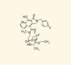 CCOC(=O)[C@H](C)N[P@@](=O)(CCN(C)C(=O)c1c2c(c(O)c3ncccc13)C(=O)N(Cc1ccc(F)cc1)C2)OCC(F)(F)F